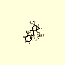 NNCC(O)(Cc1ccccc1Cl)C1(Cl)CC1.O=S(=O)(O)O